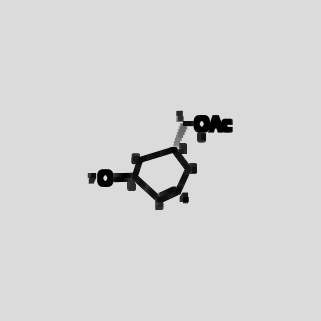 CC(=O)OC[C@@H]1CC=CC(=O)C1